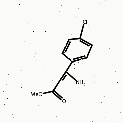 COC(=O)C=C(N)c1ccc(Cl)cc1